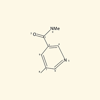 CNC(=O)c1cn[c]c(C)c1